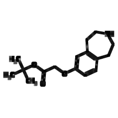 CC(C)(C)OC(=O)COc1ccc2c(c1)CCNCC2